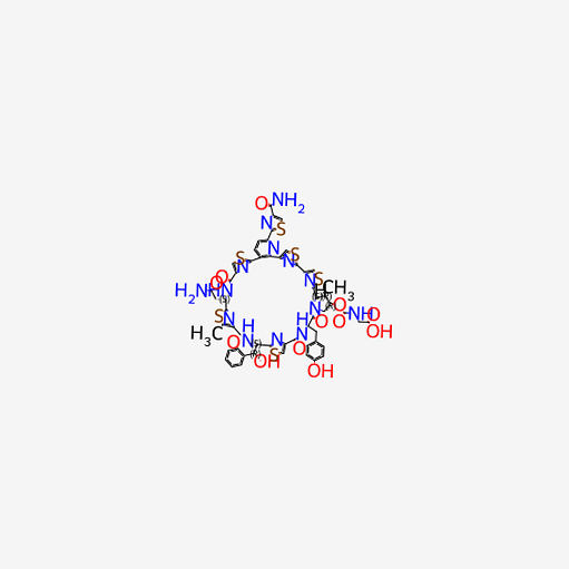 Cc1sc2nc1C(=O)N[C@@H]([C@H](O)c1ccccc1)c1nc(cs1)C(=O)NC(Cc1ccc(O)cc1)C(=O)N1C[C@H](OC(=O)NCC(=O)O)[C@H](C)[C@H]1c1nc(cs1)-c1nc(cs1)-c1nc(-c3nc(C(N)=O)cs3)ccc1-c1nc(cs1)C(=O)N[C@H]2CC(N)=O